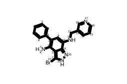 Nc1c(-c2ccccc2)cc(NCc2cccnc2)c2n[nH]c(Br)c12